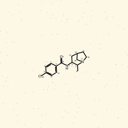 CC1C(NC(=O)c2ccc(Cl)cc2)CC2CCN1C2